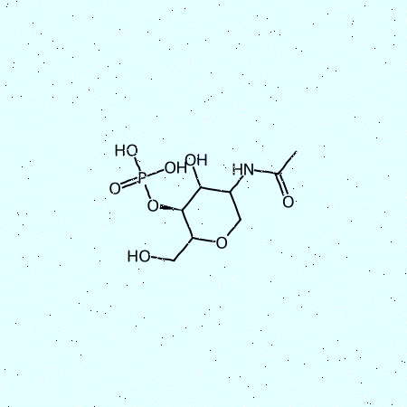 CC(=O)NC1COC(CO)[C@@H](OP(=O)(O)O)C1O